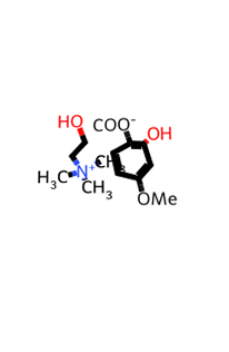 COc1ccc(C(=O)[O-])c(O)c1.C[N+](C)(C)CCO